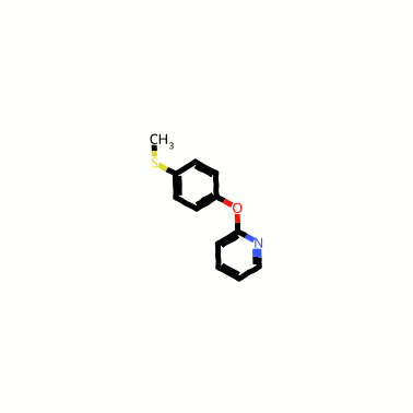 CSc1ccc(Oc2ccccn2)cc1